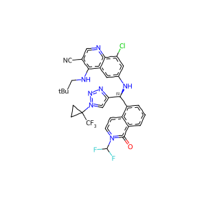 CC(C)(C)CNc1c(C#N)cnc2c(Cl)cc(N[C@H](c3cn(C4(C(F)(F)F)CC4)nn3)c3cccc4c(=O)n(C(F)F)ccc34)cc12